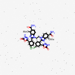 COc1c(C(N)=O)ccc2c1nc(-c1ccc(Cl)cc1-c1n[nH]c(=O)o1)n2CCn1c(-c2ccc(Cl)cc2-c2n[nH]c(=O)o2)nc2c(OC)c(C(N)=O)ccc21